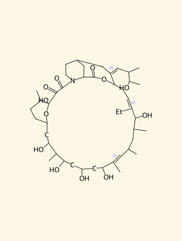 CC/C1=C\CC2OC(=O)C3CC(CCN3C(=O)C(=O)C3(O)OC(CCC3C)CC(O)C(C)C(O)CC(O)CC(O)/C(C)=C\C(C)CC(C)C1O)C/C2=C/C(C)C(C)O